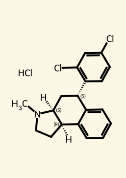 CN1CC[C@@H]2c3ccccc3[C@@H](c3ccc(Cl)cc3Cl)C[C@@H]21.Cl